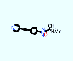 CNC(C)c1nc(-c2ccc(C#Cc3ccncc3)cc2)no1